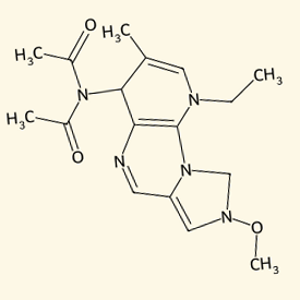 CCN1C=C(C)C(N(C(C)=O)C(C)=O)C2=C1N1CN(OC)C=C1C=N2